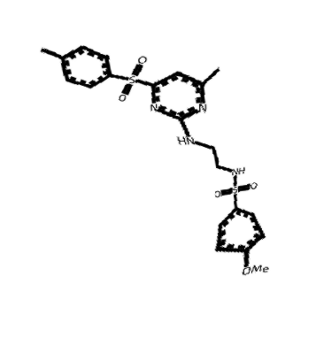 COc1ccc(S(=O)(=O)NCCNc2nc(C)cc(S(=O)(=O)c3ccc(C)cc3)n2)cc1